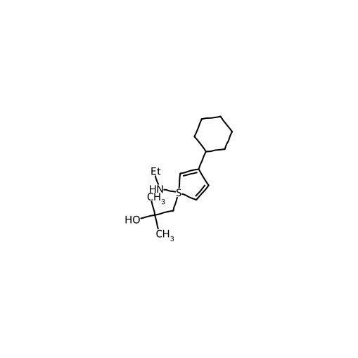 CCNS1(CC(C)(C)O)C=CC(C2CCCCC2)=C1